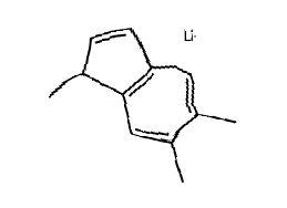 Cc1cc2c(cc1C)C(C)C=C2.[Li]